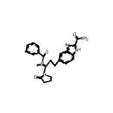 CN(C(=O)c1ccccc1)C(CCc1ccc2[nH]c(C(N)=O)nc2c1)N1CCCC1=O